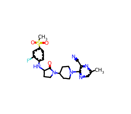 Cc1cnc(N2CCC(N3CCC(Nc4ccc(S(C)(=O)=O)cc4F)C3=O)CC2)c(C#N)n1